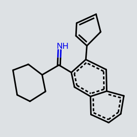 N=C(c1cc2ccccc2cc1C1=CC=CC1)C1CCCCC1